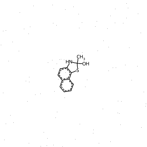 CC1(O)Nc2ccc3ccccc3c2S1